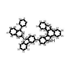 c1ccc(-c2nc(-n3c4ccccc4c4cc(-c5ccc6[nH]c7c8ccccc8c8sc9ccccc9c8c7c6c5)ccc43)nc3ccccc23)cc1